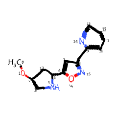 COC1CNC(c2cc(-c3ccccn3)no2)C1